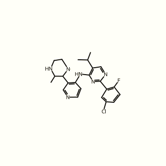 CC(C)c1cnc(-c2cc(Cl)ccc2F)nc1Nc1ccncc1C1[N]CCNC1C